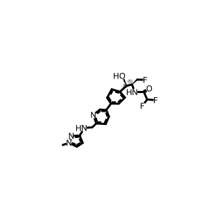 Cn1ccc(NCc2ccc(-c3ccc([C@@H](O)[C@@H](CF)NC(=O)C(F)F)cc3)cn2)n1